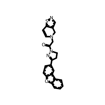 O=C(CN1C=Cc2sncc2C1)N1CCC(c2ccc3oc4ccccc4c3c2)=N1